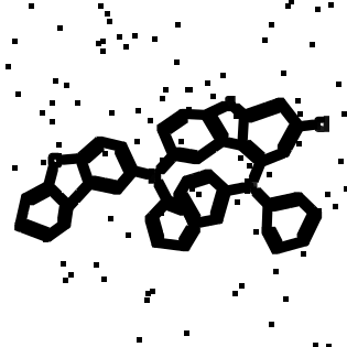 Clc1cc(N(c2ccccc2)c2ccccc2)c2c(c1)sc1ccc(N(c3ccccc3)c3ccc4oc5ccccc5c4c3)cc12